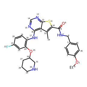 CCOc1ccc(CNC(=O)c2sc3ncnc(Nc4ccc(F)cc4OC4CCCNC4)c3c2C)cc1